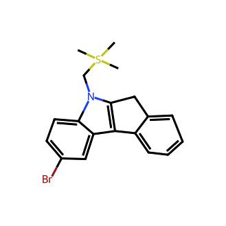 CS(C)(C)Cn1c2c(c3cc(Br)ccc31)-c1ccccc1C2